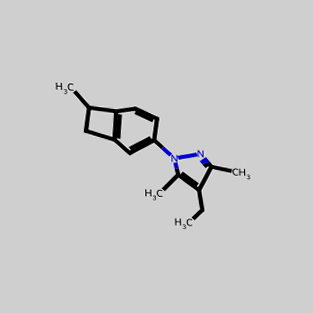 CCc1c(C)nn(-c2ccc3c(c2)CC3C)c1C